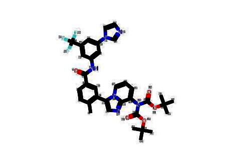 Cc1ccc(C(=O)Nc2cc(-n3ccnc3)cc(C(F)(F)F)c2)cc1-c1cnc2c(N(C(=O)OC(C)(C)C)C(=O)OC(C)(C)C)cccn12